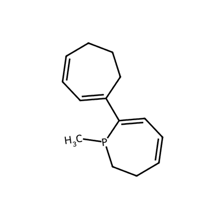 CP1CCC=CC=C1C1=CC=CCCC1